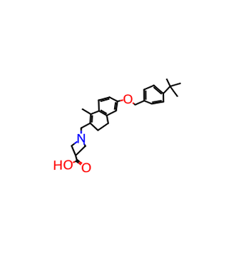 CC1=C(CN2CC(C(=O)O)C2)CCc2cc(OCc3ccc(C(C)(C)C)cc3)ccc21